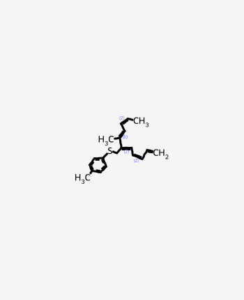 C=C\C=C/C=C(CSc1ccc(C)cc1)/C(C)=C/C=C\C